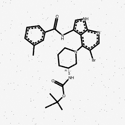 Cc1cccc(C(=O)Nc2c[nH]c3ncc(Br)c(N4CCC[C@@H](NC(=O)OC(C)(C)C)C4)c23)c1